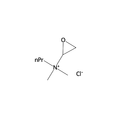 CCC[N+](C)(C)C1CO1.[Cl-]